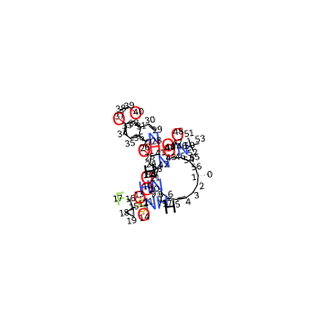 C[C@@H]1CC/C=C\[C@@H]2C[C@@]2(C(=O)NS(=O)(=O)C2(CF)CC2)NC(=O)[C@@H]2C[C@@H](Oc3nccc4c5c(ccc34)OCCO5)CN2C(=O)[C@@H](N(C(=O)O)C(C)(C)C)[C@H](C)C1